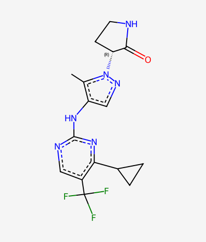 Cc1c(Nc2ncc(C(F)(F)F)c(C3CC3)n2)cnn1[C@@H]1CCNC1=O